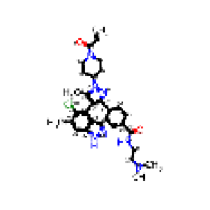 C=CC(=O)N1CCC(n2nc(-c3ccc(C(=O)NCCN(C)C)cc3)c(-c3c(Cl)c(C)cc4[nH]ncc34)c2C)CC1